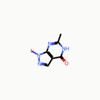 Cc1nc2c(cnn2I)c(=O)[nH]1